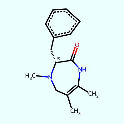 CC1=C(C)NC(=O)[C@@H](Cc2ccccc2)N(C)C1